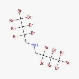 BrC(Br)(Br)C(Br)(Br)C(Br)(Br)CNCC(Br)(Br)C(Br)(Br)C(Br)(Br)Br